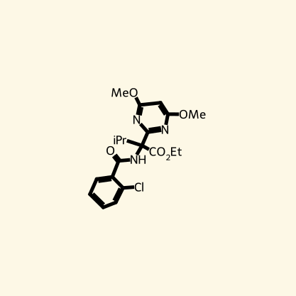 CCOC(=O)C(NC(=O)c1ccccc1Cl)(c1nc(OC)cc(OC)n1)C(C)C